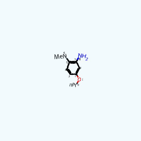 CCCOc1ccc(NC)c(N)c1